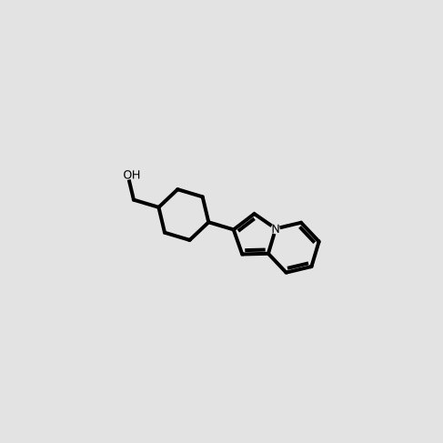 OCC1CCC(c2cc3ccccn3c2)CC1